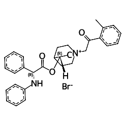 Cc1ccccc1C(=O)C[N+]12CCC(CC1)[C@@H](OC(=O)[C@H](Nc1ccccc1)c1ccccc1)C2.[Br-]